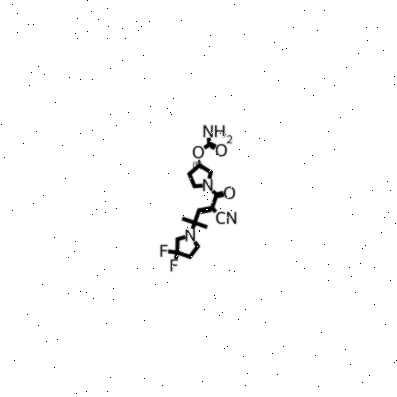 CC(C)(C=C(C#N)C(=O)N1CC[C@H](OC(N)=O)C1)N1CCC(F)(F)C1